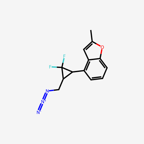 Cc1cc2c(C3C(CN=[N+]=[N-])C3(F)F)cccc2o1